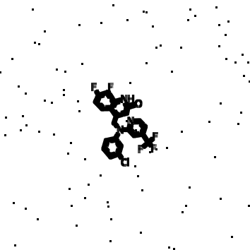 O=c1cc(CN(c2cccc(Cl)c2)c2cc(C(F)(F)F)ccn2)c2ccc(F)c(F)c2[nH]1